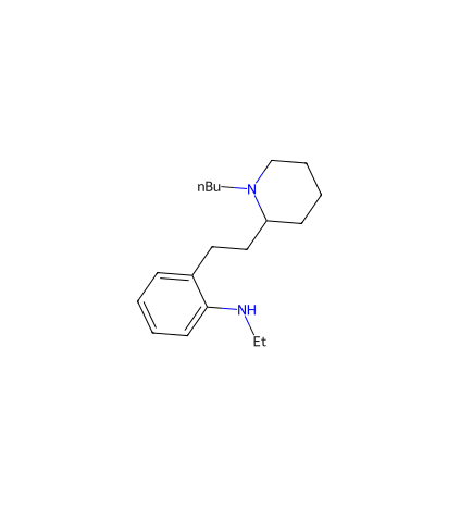 CCCCN1CCCCC1CCc1ccccc1NCC